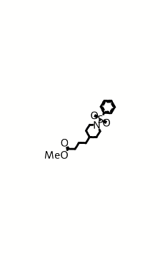 COC(=O)CCCC1CCN(S(=O)(=O)c2ccccc2)CC1